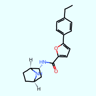 CCc1ccc(-c2ccc(C(=O)N[C@@H]3C[C@H]4CC[C@@H]3N4)o2)cc1